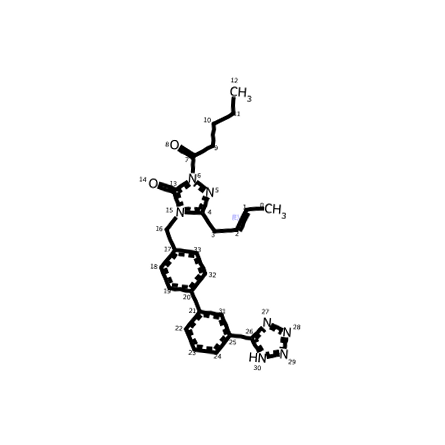 C/C=C/Cc1nn(C(=O)CCCC)c(=O)n1Cc1ccc(-c2cccc(-c3nnn[nH]3)c2)cc1